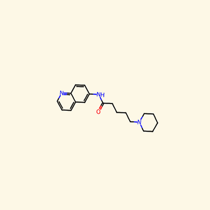 O=C(CCCCN1CCCCC1)Nc1ccc2ncccc2c1